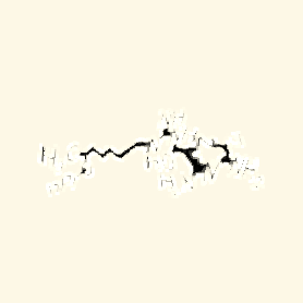 CCCOC(C)CCCCCNC(=N)NC(=O)c1nc(Cl)c(N)nc1N